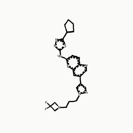 FC1(F)CN(CCCn2cc(-c3cnc4ccc(Nc5nnc(C6CCCC6)s5)nc4c3)cn2)C1